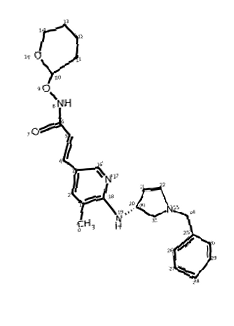 Cc1cc(C=CC(=O)NOC2CCCCO2)cnc1N[C@@H]1CCN(Cc2ccccc2)C1